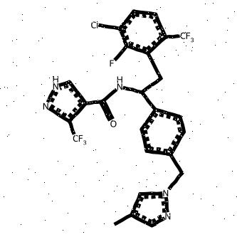 Cc1cnn(Cc2ccc(C(Cc3c(C(F)(F)F)ccc(Cl)c3F)NC(=O)c3c[nH]nc3C(F)(F)F)cc2)c1